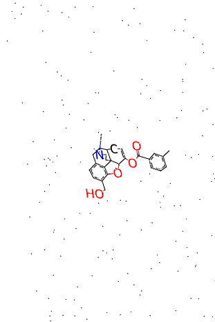 Cc1cccc(C(=O)OC2=CCC3C4Cc5ccc(CO)c6c5C3(CCN4C)C2O6)c1